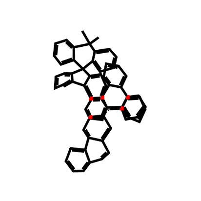 CC1(C)c2ccccc2C2(c3ccccc3-c3cc(N(c4ccc5c(ccc6ccccc65)c4)c4ccccc4-c4ccccc4-c4ccccc4-c4ccccc4)ccc32)c2ccccc21